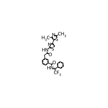 Cc1nc(C)c(-c2csc(NC(=O)Cc3cccc(C(=O)N[C@@H](c4ccccc4)C(F)(F)F)c3)n2)s1